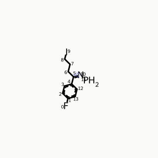 Fc1ccc(/C(CCCI)=N\P)cc1